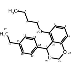 CCCCOc1cccc2c1C(c1ccc(CC)cc1)OCO2